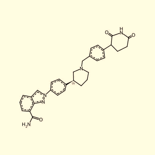 NC(=O)c1cccc2cn(-c3ccc([C@@H]4CCCN(Cc5ccc(C6CCC(=O)NC6=O)cc5)C4)cc3)nc12